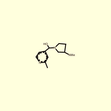 CNC1CCN(C(O)c2ccnc(C)c2)C1